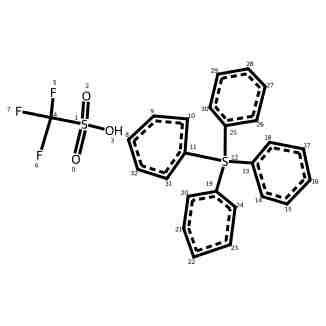 O=S(=O)(O)C(F)(F)F.c1ccc(S(c2ccccc2)(c2ccccc2)c2ccccc2)cc1